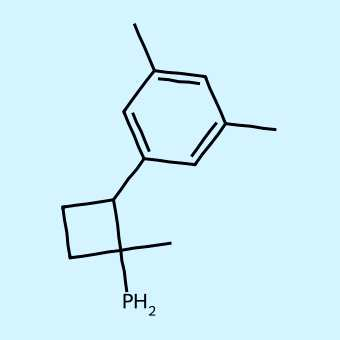 Cc1cc(C)cc(C2CCC2(C)P)c1